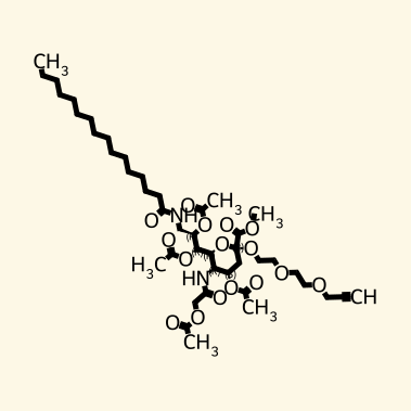 C#CCOCCOCCO[C@]1(C(=O)OC)C[C@H](OC(C)=O)[C@@H](NC(=O)COC(C)=O)[C@H]([C@H](OC(C)=O)[C@@H](CNC(=O)CCCCCCCCCCCCCCC)OC(C)=O)O1